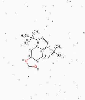 CC(C)(C)c1ccc(C(C)(C)C)c2c1CC1OCOC1C2